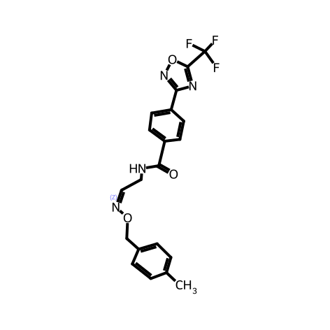 Cc1ccc(CO/N=C\CNC(=O)c2ccc(-c3noc(C(F)(F)F)n3)cc2)cc1